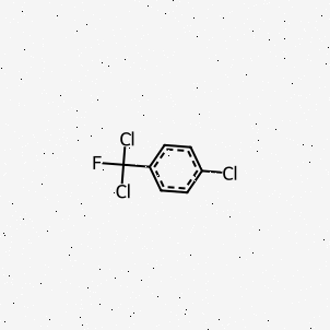 FC(Cl)(Cl)c1ccc(Cl)cc1